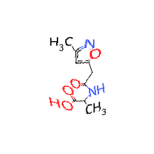 Cc1cc(CC(=O)NC(C)C(=O)O)on1